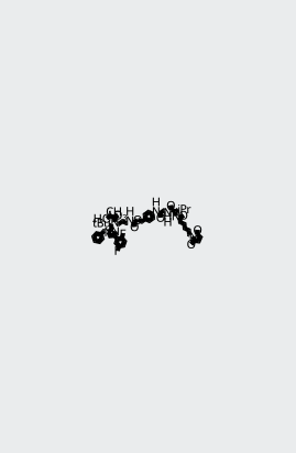 CC(C)C(NC(=O)CCCCCN1C(=O)C=CC1=O)C(=O)NCC(=O)Nc1ccc(COC(=O)NCCCN(C(=O)[C@H](C)O)[C@@H](c2nc(-c3cc(F)ccc3F)cn2Cc2ccccc2)C(C)(C)C)cc1